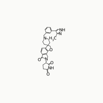 Cc1n[nH]cc1-c1cccc(CN2CCC3(CC2)COc2c3ccc3c2CN([C@@H]2CCC(=O)NC2=O)C3=O)c1